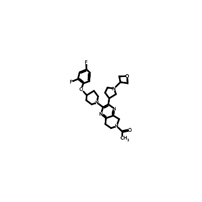 CC(=O)N1CCc2nc(N3CCC(Oc4ccc(F)cc4F)CC3)c(C3CCN(C4COC4)C3)nc2C1